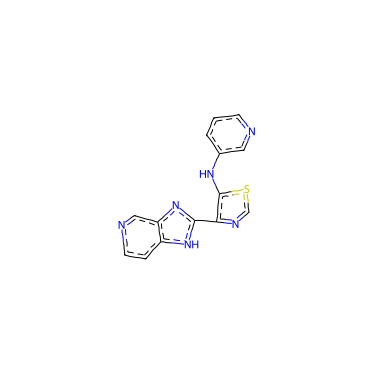 c1cncc(Nc2scnc2-c2nc3cnccc3[nH]2)c1